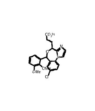 COc1cccc(C2OC(CCC(=O)O)c3nccn3-c3ccc(Cl)cc32)c1OC